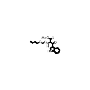 C=C/C=C/OCONC(C(=O)OC)C(=O)c1c[nH]c2ccccc12